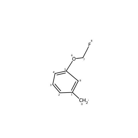 [CH2]c1cccc(OCF)c1